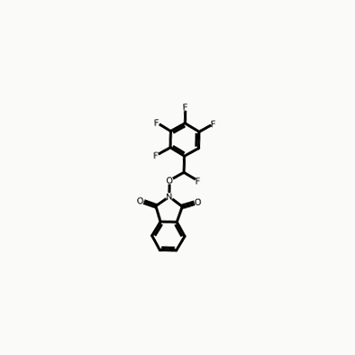 O=C1c2ccccc2C(=O)N1OC(F)c1cc(F)c(F)c(F)c1F